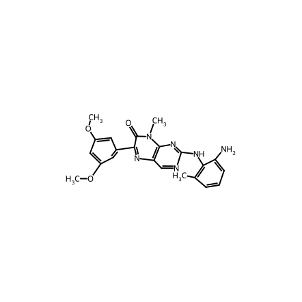 COc1cc(OC)cc(-c2nc3cnc(Nc4c(C)cccc4N)nc3n(C)c2=O)c1